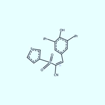 CC(C)c1cc(/C=C(/C#N)S(=O)(=O)c2ccsc2)cc(C(C)C)c1O